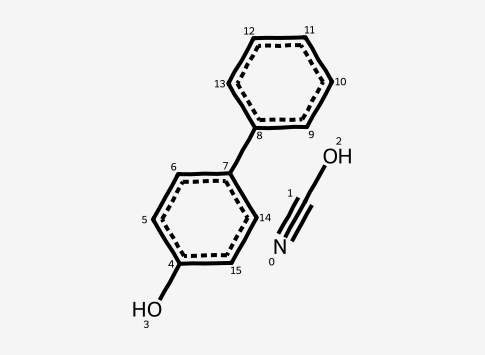 N#CO.Oc1ccc(-c2ccccc2)cc1